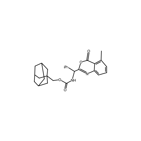 Cc1cccc2nc(C(NC(=O)OCC34CC5CC(CC(C5)C3)C4)C(C)C)oc(=O)c12